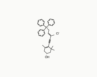 CC1=C(C#C/C(C)=C/C[P+](c2ccccc2)(c2ccccc2)c2ccccc2)C(C)(C)C[C@H](O)C1.[Cl-]